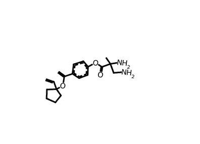 C=CC1(OC(=C)c2ccc(OC(=O)C(C)(N)CN)cc2)CCCC1